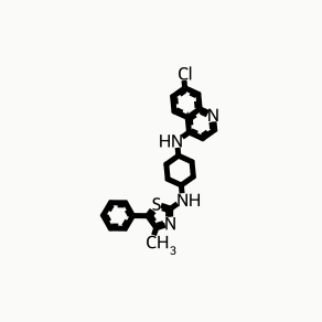 Cc1nc(NC2CCC(Nc3ccnc4cc(Cl)ccc34)CC2)sc1-c1ccccc1